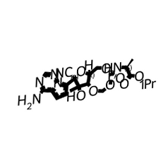 CC(C)OC(=O)[C@H](C)NP1(=O)OCOC2[C@@H](CO1)O[C@@](C#N)(c1ccc3c(N)ncnn13)C2(C)O